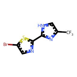 FC(F)(F)c1c[nH]c(-c2ncc(Br)s2)n1